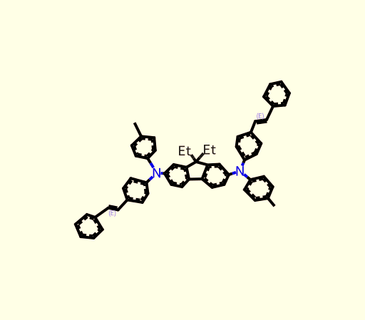 CCC1(CC)c2cc(N(c3ccc(C)cc3)c3ccc(/C=C/c4ccccc4)cc3)ccc2-c2ccc(N(c3ccc(C)cc3)c3ccc(/C=C/c4ccccc4)cc3)cc21